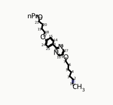 C/C=C/CCCCCOc1cnc(-c2ccc(OCCCCOCCC)cc2)nc1